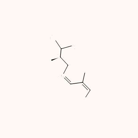 CCC(/C=N\C[C@@H](O)C(C)Br)=C/F